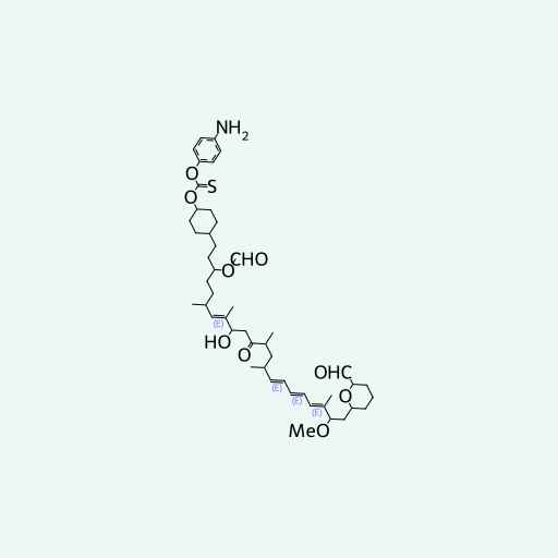 COC(CC1CCCC(C=O)O1)/C(C)=C/C=C/C=C/C(C)CC(C)C(=O)CC(O)/C(C)=C/C(C)CCC(CCC1CCC(OC(=S)Oc2ccc(N)cc2)CC1)OC=O